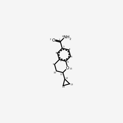 NC(=O)c1ccc2c(c1)CCC(C1CC1)O2